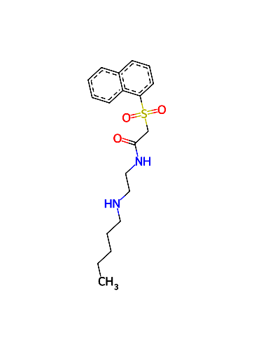 CCCCCNCCNC(=O)CS(=O)(=O)c1cccc2ccccc12